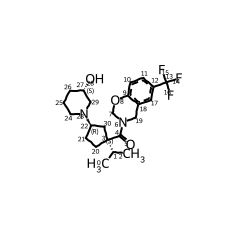 CC(C)[C@]1(C(=O)N2COc3ccc(C(F)(F)F)cc3C2)CC[C@@H](N2CCC[C@H](O)C2)C1